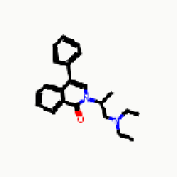 CCN(CC)CC(C)n1cc(-c2ccccc2)c2ccccc2c1=O